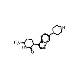 C=C1CCC(c2cnn3cc(C4CCNCC4)ccc23)C(=O)N1